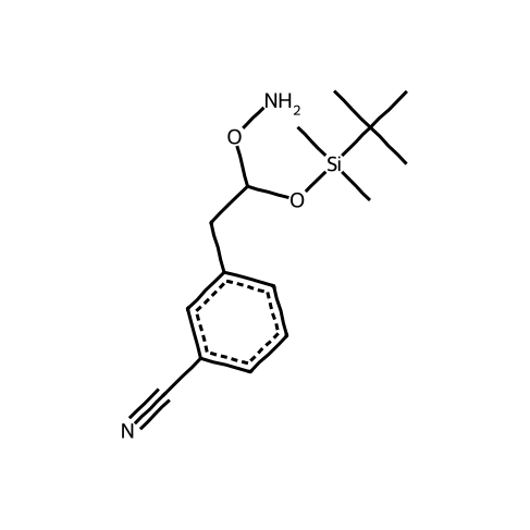 CC(C)(C)[Si](C)(C)OC(Cc1cccc(C#N)c1)ON